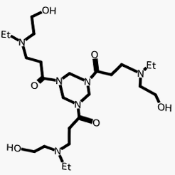 CCN(CCO)CCC(=O)N1CN(C(=O)CCN(CC)CCO)CN(C(=O)CCN(CC)CCO)C1